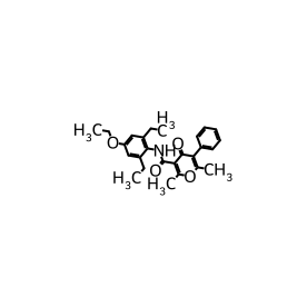 CCOc1cc(CC)c(NC(=O)c2c(C)oc(C)c(-c3ccccc3)c2=O)c(CC)c1